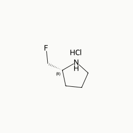 Cl.FC[C@H]1CCCN1